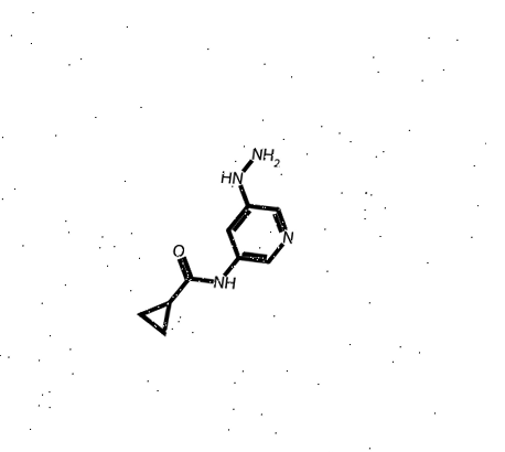 NNc1cncc(NC(=O)C2CC2)c1